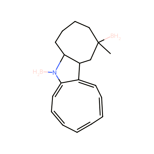 BN1c2ccccccccc2C2CC(B)(C)CCCCC21